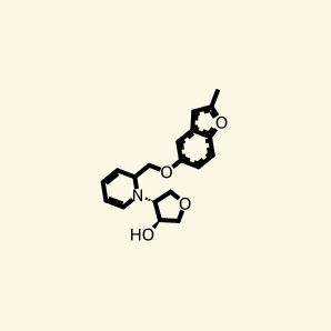 Cc1cc2cc(OCC3C=CC=CN3[C@@H]3COC[C@H]3O)ccc2o1